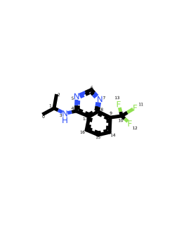 CC(C)Nc1ncnc2c(C(F)(F)F)cccc12